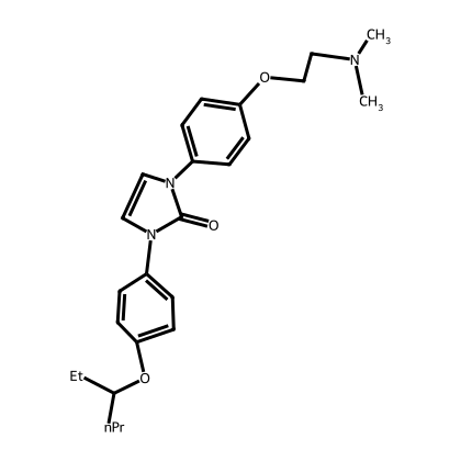 CCCC(CC)Oc1ccc(-n2ccn(-c3ccc(OCCN(C)C)cc3)c2=O)cc1